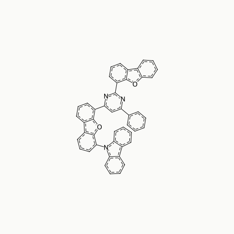 c1ccc(-c2cc(-c3cccc4c3oc3c(-n5c6ccccc6c6ccccc65)cccc34)nc(-c3cccc4c3oc3ccccc34)n2)cc1